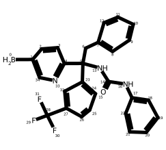 Bc1ccc(C(Cc2ccccc2)(NC(=O)Nc2ccccc2)c2cccc(C(F)(F)F)c2)nc1